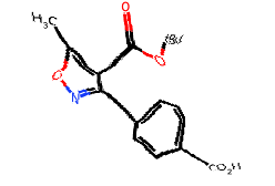 Cc1onc(-c2ccc(C(=O)O)cc2)c1C(=O)OC(C)(C)C